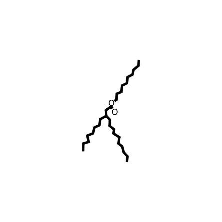 CCCCCCCCCCOC(=O)CC(CCCCCCCC)CCCCCCCCCC